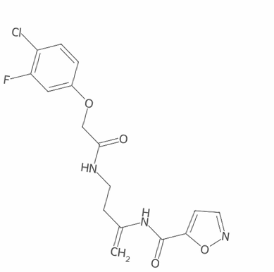 C=C(CCNC(=O)COc1ccc(Cl)c(F)c1)NC(=O)c1ccno1